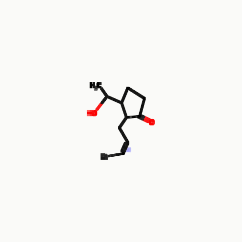 CC/C=C\CC1C(=O)CCC1C(C)O